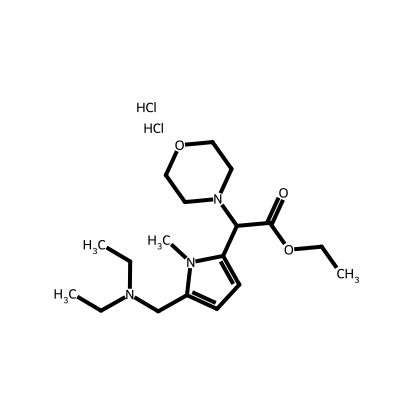 CCOC(=O)C(c1ccc(CN(CC)CC)n1C)N1CCOCC1.Cl.Cl